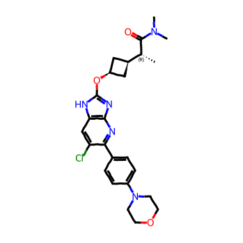 C[C@@H](C(=O)N(C)C)[C@H]1C[C@@H](Oc2nc3nc(-c4ccc(N5CCOCC5)cc4)c(Cl)cc3[nH]2)C1